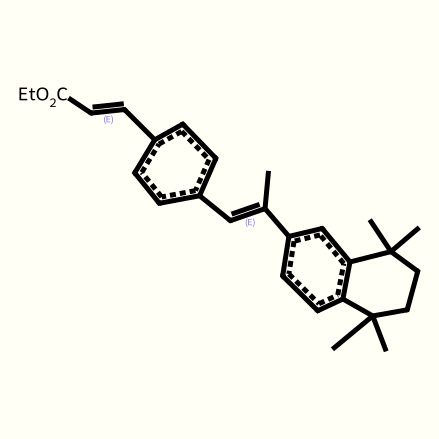 CCOC(=O)/C=C/c1ccc(/C=C(\C)c2ccc3c(c2)C(C)(C)CCC3(C)C)cc1